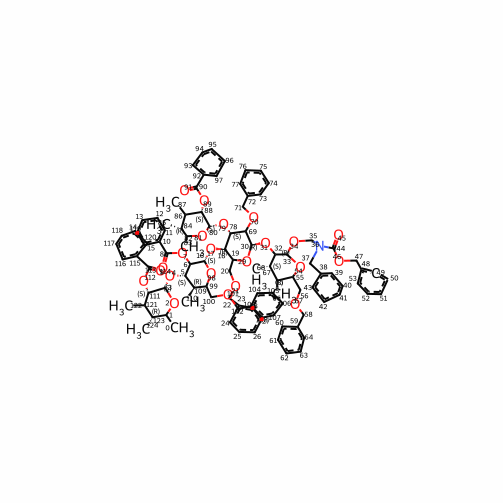 CC1O[C@@H](O[C@@H]2C(OC(=O)c3ccccc3)[C@H](O[C@@H]3C(COCc4ccccc4)O[C@H](OC4[C@@H](OCN(Cc5ccccc5)C(=O)OCc5ccccc5)OC(COCc5ccccc5)[C@@H](C)[C@@H]4C)C(OCc4ccccc4)[C@H]3O[C@@H]3OC(C)[C@H](C)C(C)[C@@H]3OC(=O)c3ccccc3)OC(COCc3ccccc3)[C@H]2C)[C@@H](OC(=O)c2ccccc2)C(C)[C@H]1C